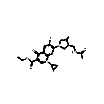 CCOC(=O)c1cn(C2CC2)c2nc(N3CC(Cl)C(CNC(C)=O)C3)c(F)cc2c1=O